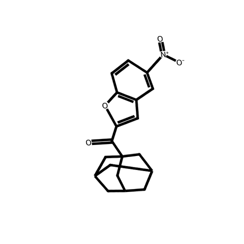 O=C(c1cc2cc([N+](=O)[O-])ccc2o1)C12CC3CC(CC(C3)C1)C2